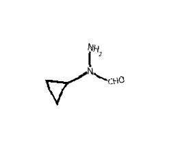 NN(C=O)C1CC1